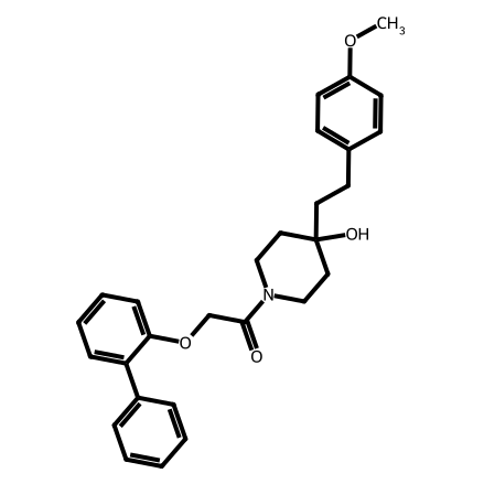 COc1ccc(CCC2(O)CCN(C(=O)COc3ccccc3-c3ccccc3)CC2)cc1